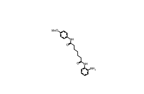 COc1ccc(NC(=O)CCCCCC(=O)Nc2ccccc2N)cc1